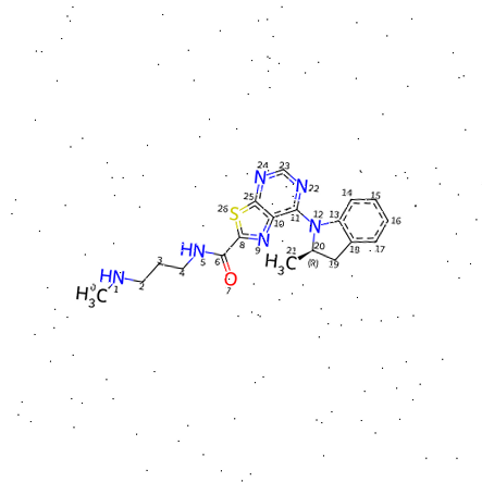 CNCCCNC(=O)c1nc2c(N3c4ccccc4C[C@H]3C)ncnc2s1